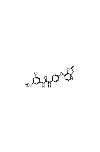 CC(C)(C)c1cc(Cl)cc(NC(=O)Nc2ccc(Oc3ccnc4c3OC(=O)C4)cc2)c1